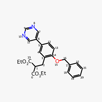 CCOC(=O)C(Cc1cc(-c2cncnc2)ccc1OCc1ccccc1)C(=O)OCC